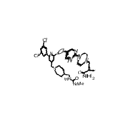 CNC(=O)NCC1CCN(Cc2cc(Oc3cnc(N4CCN(CC(C)C(N)=O)CC4)nc3)nc(-c3cc(Cl)cc(Cl)c3)c2)CC1